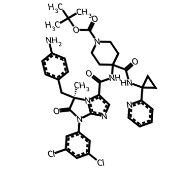 CC(C)(C)OC(=O)N1CCC(NC(=O)c2cnc3n2[C@](C)(Cc2ccc(N)cc2)C(=O)N3c2cc(Cl)cc(Cl)c2)(C(=O)NC2(c3ccccn3)CC2)CC1